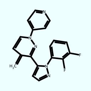 C=C1C=CN(c2ccncc2)N=C1c1ccnn1-c1cccc(F)c1F